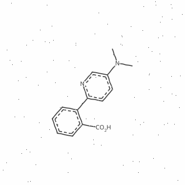 CN(C)c1ccc(-c2ccccc2C(=O)O)nc1